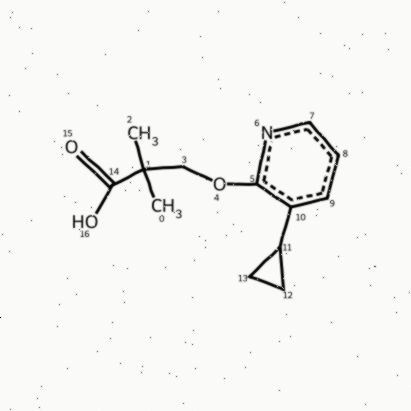 CC(C)(COc1ncccc1C1CC1)C(=O)O